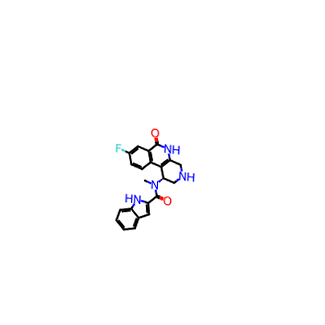 CN(C(=O)c1cc2ccccc2[nH]1)[C@@H]1CNCc2[nH]c(=O)c3cc(F)ccc3c21